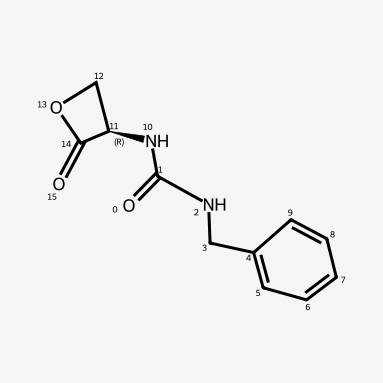 O=C(NCc1ccccc1)N[C@@H]1COC1=O